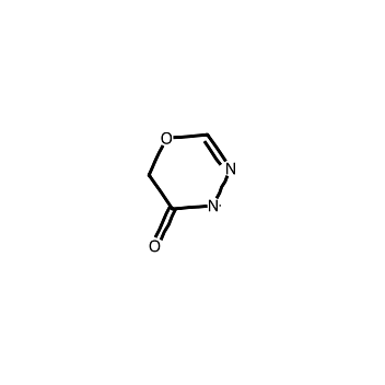 O=C1COC=N[N]1